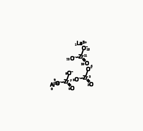 [Al+3].[La+3].[O]=[Zr]([O-])[O-].[O]=[Zr]([O-])[O-].[O]=[Zr]([O-])[O-]